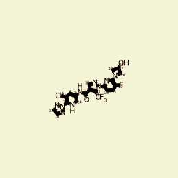 O=C(NC1=CC(Cl)=C(n2nccn2)NC1)c1cnn(-c2ccc(F)c(N3CC(O)C3)n2)c1C(F)(F)F